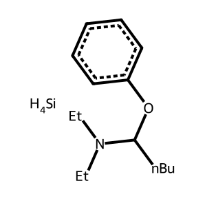 CCCCC(Oc1ccccc1)N(CC)CC.[SiH4]